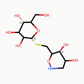 OCC1O[C@H](SCC2ONCC(O)[C@@H]2O)C(O)C(O)[C@@H]1O